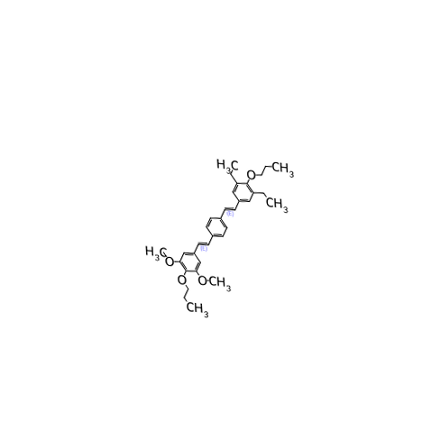 CCCOc1c(CC)cc(/C=C/c2ccc(/C=C/c3cc(OC)c(OCCC)c(OC)c3)cc2)cc1CC